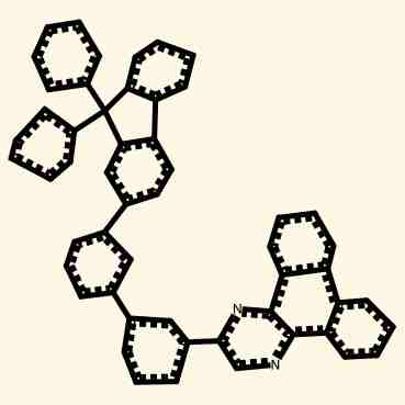 c1ccc(C2(c3ccccc3)c3ccccc3-c3ccc(-c4cccc(-c5cccc(-c6cnc7c8ccccc8c8ccccc8c7n6)c5)c4)cc32)cc1